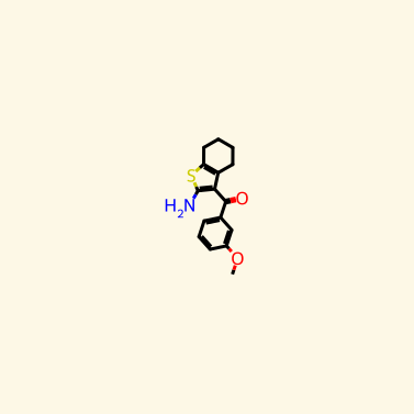 COc1cccc(C(=O)c2c(N)sc3c2CCCC3)c1